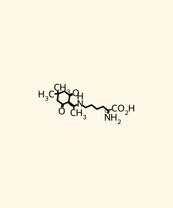 CC(NCCCC[C@H](N)C(=O)O)=C1C(=O)CC(C)(C)CC1=O